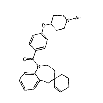 CC(=O)N1CCC(Oc2ccc(C(=O)N3CCC4(C=CCCC4)Cc4ccccc43)cc2)CC1